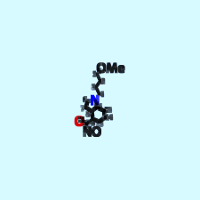 COCCCCn1ccc2c(C(=O)N=O)cccc21